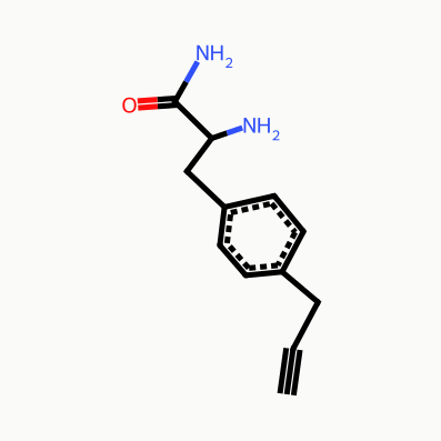 C#CCc1ccc(CC(N)C(N)=O)cc1